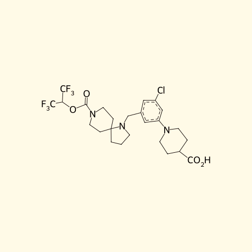 O=C(O)C1CCN(c2cc(Cl)cc(CN3CCCC34CCN(C(=O)OC(C(F)(F)F)C(F)(F)F)CC4)c2)CC1